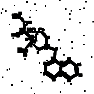 CC[C@H](C)[C@@H](CN(CC(=O)O)Cc1cccc2ccccc12)NC(=O)OC(C)(C)C